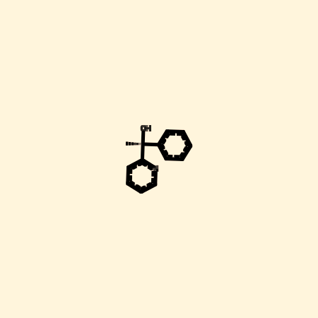 C[C@](O)(c1ccccc1)c1ccccn1